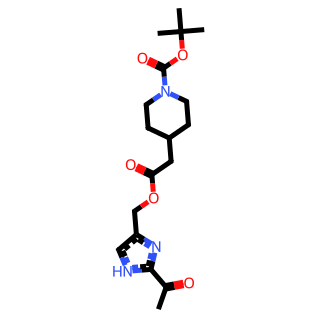 CC(=O)c1nc(COC(=O)CC2CCN(C(=O)OC(C)(C)C)CC2)c[nH]1